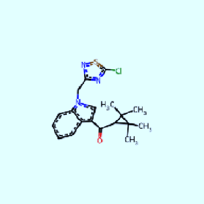 CC1(C)C(C(=O)c2cn(Cc3nsc(Cl)n3)c3ccccc23)C1(C)C